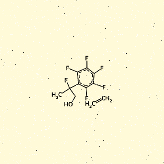 C=C.CC(F)(CO)c1c(F)c(F)c(F)c(F)c1F